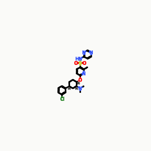 Cc1nc(O[C@H]2CC[C@H](c3cccc(Cl)c3)C[C@@H]2N(C)C)ccc1S(=O)(=O)Nc1ccncn1